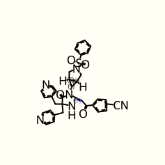 N#Cc1ccc(C(=O)/C=C2\NC(Cc3ccncc3)(Cc3ccncc3)C(=O)N2[C@H]2[C@@H]3CN(S(=O)(=O)c4ccccc4)C[C@@H]32)cc1